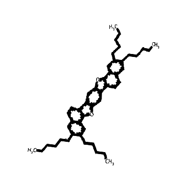 CCCCCCc1cc2ccc3c4cc5oc6c7cc(CCCCC)c(CCCCC)cc7ccc6c5cc4oc3c2cc1CCCCC